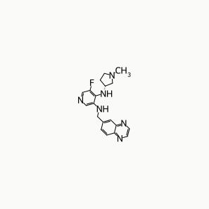 CN1CC[C@@H](Nc2c(F)cncc2NCc2ccc3nccnc3c2)C1